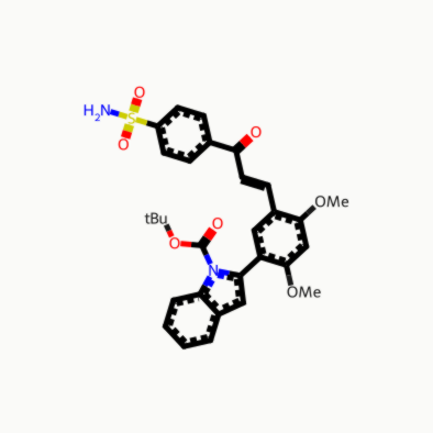 COc1cc(OC)c(-c2cc3ccccc3n2C(=O)OC(C)(C)C)cc1C=CC(=O)c1ccc(S(N)(=O)=O)cc1